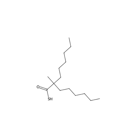 CCCCCCC(C)(CCCCCC)C(=O)S